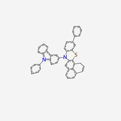 C1=Cc2cccc3cc4c(c(c23)C1)Sc1cc(-c2ccccc2)ccc1N4c1ccc2c(c1)c1ccccc1n2-c1ccccc1